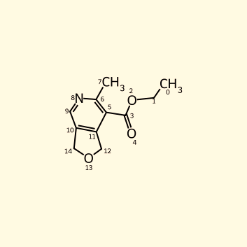 CCOC(=O)c1c(C)ncc2c1COC2